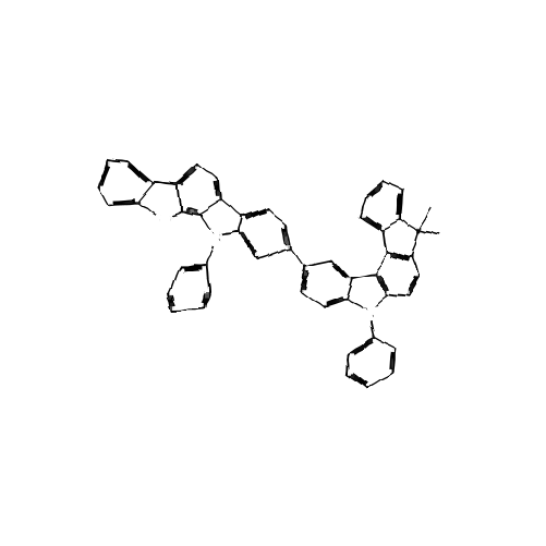 CC1(C)c2ccccc2-c2c1ccc1c2c2cc(-c3ccc4c5ccc6c7ccccc7oc6c5n(-c5ccccc5)c4c3)ccc2n1-c1ccccc1